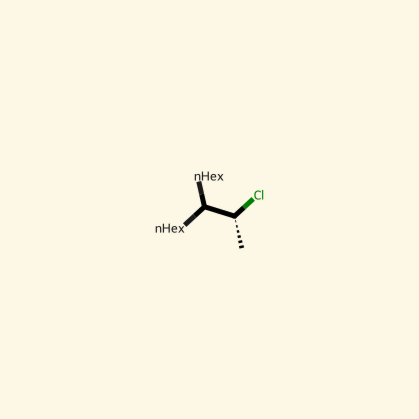 CCCCCCC(CCCCCC)[C@@H](C)Cl